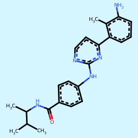 Cc1c(N)cccc1-c1ccnc(Nc2ccc(C(=O)NC(C)C(C)C)cc2)n1